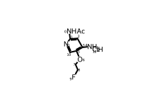 CC(=O)Nc1cc(N)c(OCCF)cn1.Cl